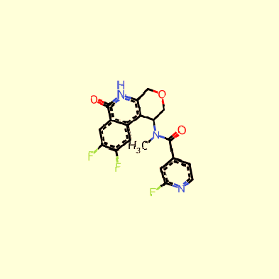 CN(C(=O)c1ccnc(F)c1)C1COCc2[nH]c(=O)c3cc(F)c(F)cc3c21